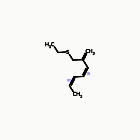 C=C(/C=C\C=C/C)CSCC